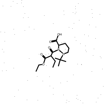 CCOC(=O)C(CC)C(=O)N1C(C(=O)O)CCCN1C(C)(C)C